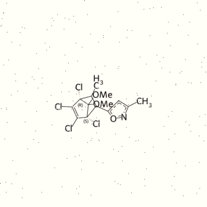 COC1(OC)[C@@]2(Cl)C(Cl)=C(Cl)[C@]1(Cl)C(c1cc(C)no1)C2C